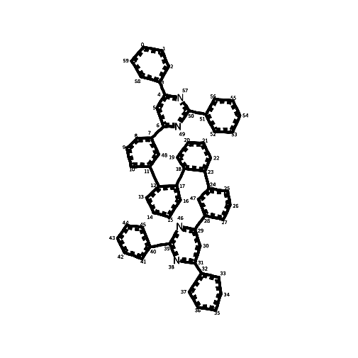 c1ccc(-c2cc(-c3cccc(-c4ccccc4-c4ccccc4-c4cccc(-c5cc(-c6ccccc6)nc(-c6ccccc6)n5)c4)c3)nc(-c3ccccc3)n2)cc1